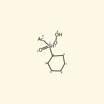 CC(=O)[SH](=O)(OO)C1CCCCC1